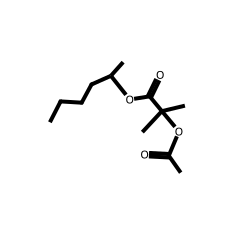 CCCCC(C)OC(=O)C(C)(C)OC(C)=O